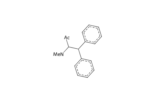 CNC(C(C)=O)C(c1ccccc1)c1ccccc1